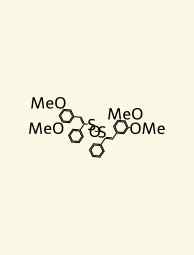 COc1cc(C=C(SOSC(=Cc2cc(OC)cc(OC)c2)c2ccccc2)c2ccccc2)cc(OC)c1